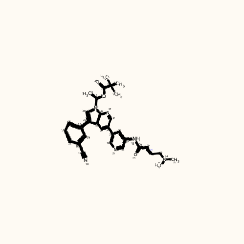 CC(OC(=O)C(C)(C)C)n1cc(-c2cccc(C#N)c2)c2cc(-c3cncc(NC(=O)/C=C/CN(C)C)c3)cnc21